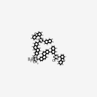 CC1(C)OB(c2ccc3ccc4c5cc(-c6cc(-c7nc(Cl)nc(-c8cccc9oc%10ccccc%10c89)n7)cc7ccccc67)ccc5ccc4c3c2)OC1(C)Cc1ccc2ccc3c4cc(-c5nc(-c6ccc7ccccc7c6)nc(-c6cccc7oc8ccccc8c67)n5)ccc4ccc3c2c1